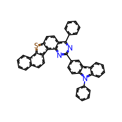 c1ccc(-c2nc(-c3ccc4c(c3)c3ccccc3n4-c3ccccc3)nc3c2ccc2sc4c5ccccc5ccc4c23)cc1